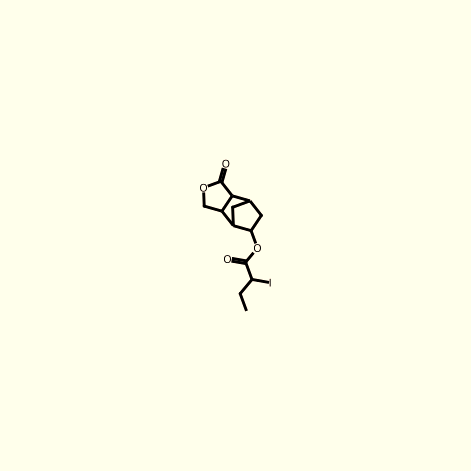 CCC(I)C(=O)OC1CC2CC1C1COC(=O)C21